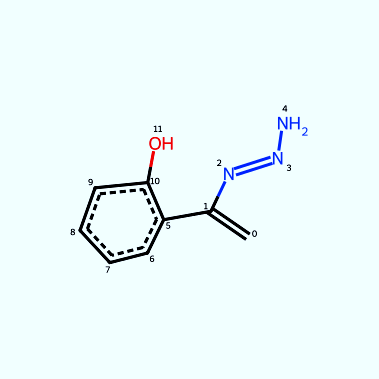 C=C(N=NN)c1ccccc1O